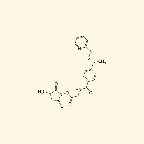 CC1CC(=O)N(OC(=O)CNC(=O)c2ccc(C(C)SSc3ccccn3)cc2)C1=O